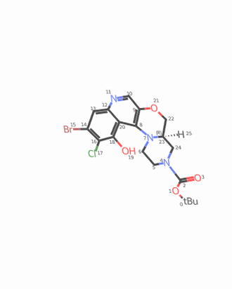 CC(C)(C)OC(=O)N1CCN2c3c(cnc4cc(Br)c(Cl)c(O)c34)OC[C@H]2C1